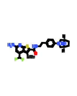 CNc1c(C(=O)NCCc2ccc(N3C[C@H]4CC[C@@H](C3)N4)cc2)sc2nc(N)cc(C(F)F)c12